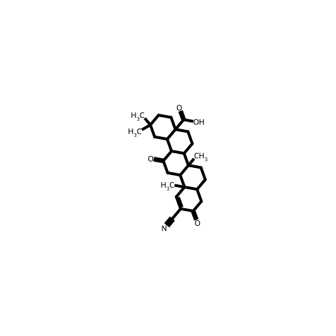 CC1(C)CCC2(C(=O)O)CCC3C(C(=O)CC4C5(C)C=C(C#N)C(=O)CC5CCC34C)C2C1